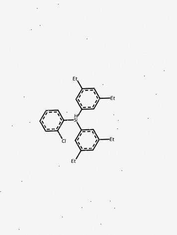 CCc1cc(CC)cc([SiH](c2cc(CC)cc(CC)c2)c2ccccc2Cl)c1